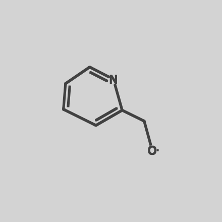 [O]Cc1ccccn1